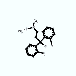 CCc1ccccc1C(C#N)(CCN(C)C)c1ccccc1Cl.Cl